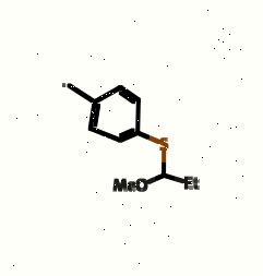 [CH2]c1ccc(SC(CC)OC)cc1